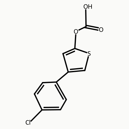 O=C(O)Oc1cc(-c2ccc(Cl)cc2)cs1